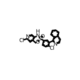 Cc1cc(Cl)ncc1NS(=O)(=O)c1ccc(Cl)c(-c2nccc3ccccc23)c1